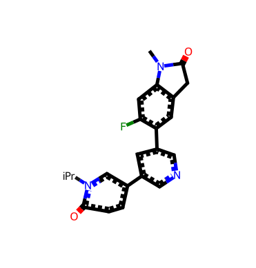 CC(C)n1cc(-c2cncc(-c3cc4c(cc3F)N(C)C(=O)C4)c2)ccc1=O